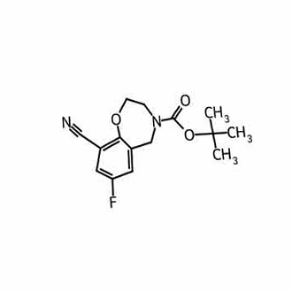 CC(C)(C)OC(=O)N1CCOc2c(C#N)cc(F)cc2C1